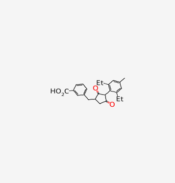 CCc1cc(C)cc(CC)c1C1C(=O)CC(Cc2cccc(C(=O)O)c2)C1=O